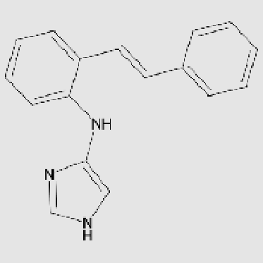 C(=Cc1ccccc1Nc1c[nH]cn1)c1ccccc1